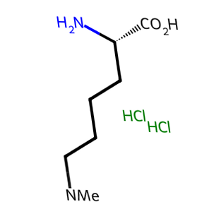 CNCCCC[C@H](N)C(=O)O.Cl.Cl